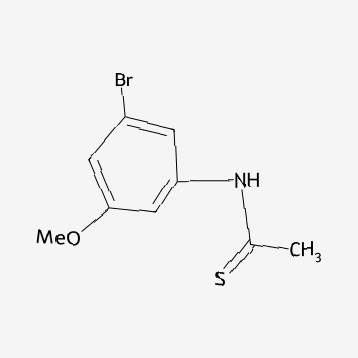 COc1cc(Br)cc(NC(C)=S)c1